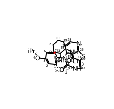 Cc1cc(OC(C)C)ccc1N1C(=O)N/C=C(\C(=O)N[C@@H]2CCCC[C@@H]2N)Sc2nccc1c2C